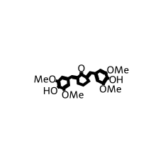 COc1cc(C=C2CCCC(=Cc3cc(OC)c(O)c(OC)c3)C2=O)cc(OC)c1O